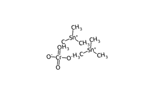 [CH3][Sn+]([CH3])[CH3].[CH3][Sn+]([CH3])[CH3].[O]=[Cr](=[O])([O-])[O-]